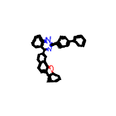 c1ccc(-c2ccc(-c3nc(-c4ccc5ccc6c7ccccc7oc6c5c4)c4ccccc4n3)cc2)cc1